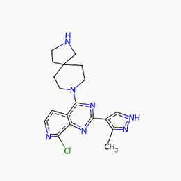 Cc1n[nH]cc1-c1nc(N2CCC3(CCNC3)CC2)c2ccnc(Cl)c2n1